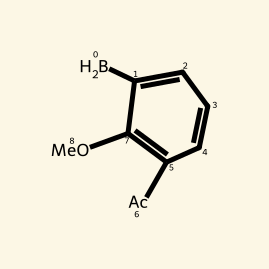 Bc1cccc(C(C)=O)c1OC